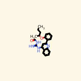 CCCC(C)Oc1ccccc1-c1cc(NC(=N)NC=O)c2ccccc2n1